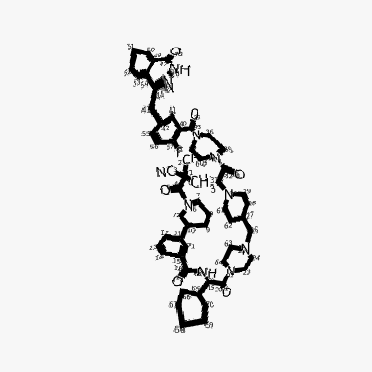 CC(C)(C#N)C(=O)N1CCCC(c2cccc(C(=O)N[C@@H](C(=O)N3CCN(CC4CCN(CC(=O)N5CCN(C(=O)c6cc(Cc7n[nH]c(=O)c8ccccc78)ccc6F)CC5)CC4)CC3)C3CCCCC3)c2)C1